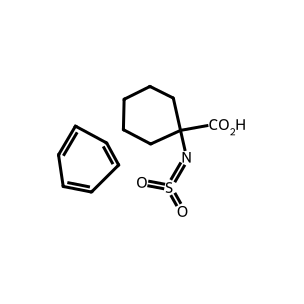 O=C(O)C1(N=S(=O)=O)CCCCC1.c1ccccc1